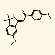 COc1ccc(C(=O)/C=C2\NC(C)(C)c3ccc(OC)cc32)cc1